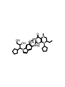 CCC1CN(C)C2=C(N[C@@](N)(Nc3cc4ccn(C(C(O)CO)C5CCCC5)c4cc3OC)NC2=O)N1C1CCCC1